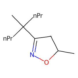 CCCC(C)(CCC)C1=NOC(C)C1